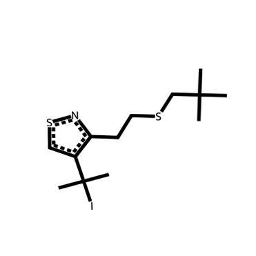 CC(C)(C)CSCCc1nscc1C(C)(C)I